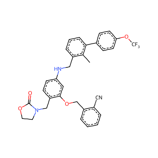 Cc1c(CNc2ccc(CN3CCOC3=O)c(OCc3ccccc3C#N)c2)cccc1-c1ccc(OC(F)(F)F)cc1